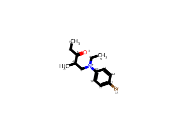 CCC(=O)C(C)CN(CC)c1ccc(Br)cc1